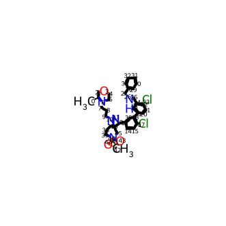 C[C@H]1COCCN1CCCn1nc(-c2ccc(Cl)c(-c3ccc(Cl)c(CNCc4ccccc4)c3)c2)c2c1CCN(S(C)(=O)=O)C2